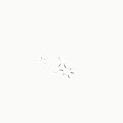 Br.CN(CCCCP(=O)(O)O)Cc1cc([N+](=O)[O-])cc2[nH]c(=O)c(=O)[nH]c12